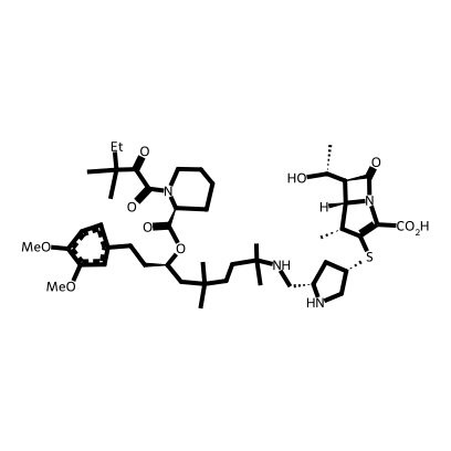 CCC(C)(C)C(=O)C(=O)N1CCCC[C@H]1C(=O)O[C@H](CCc1ccc(OC)c(OC)c1)CC(C)(C)CCC(C)(C)NC[C@@H]1C[C@H](SC2=C(C(=O)O)N3C(=O)[C@H]([C@@H](C)O)[C@H]3[C@H]2C)CN1